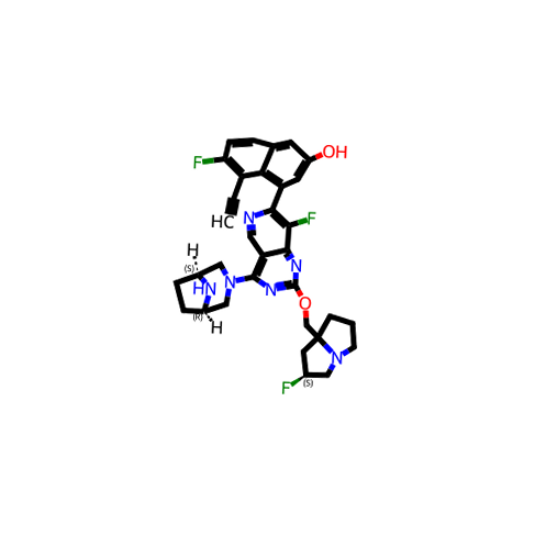 C#Cc1c(F)ccc2cc(O)cc(-c3ncc4c(N5C[C@H]6CC[C@@H](C5)N6)nc(OCC56CCCN5C[C@@H](F)C6)nc4c3F)c12